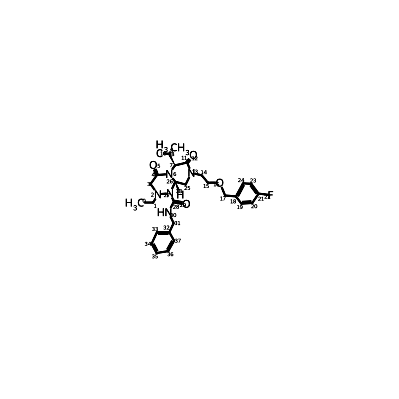 CCN1CC(=O)N2[C@@H](C(C)C)C(=O)N(CCOCc3ccc(F)cc3)C[C@@H]2N1C(=O)NCc1ccccc1